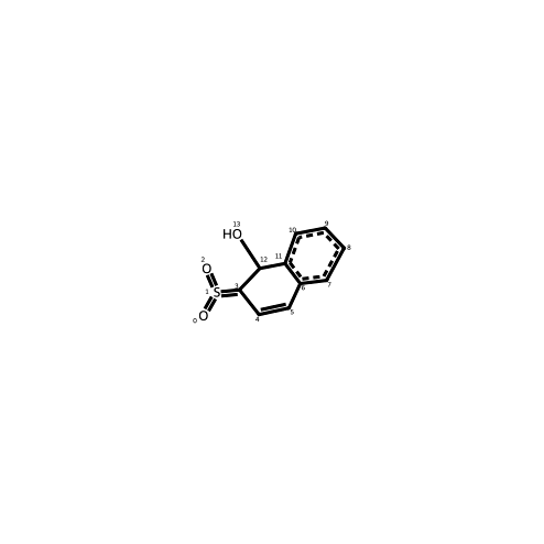 O=S(=O)=C1C=Cc2ccccc2C1O